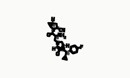 N#C[C@@H]1C[C@@H]2CC2N1C(=O)[C@@H](N)CN1C[C@@H]2C[C@H]1C(=O)N2[C@H](c1ccc(F)cc1)C1CC1